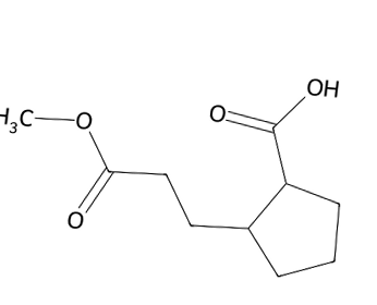 COC(=O)CCC1CCCC1C(=O)O